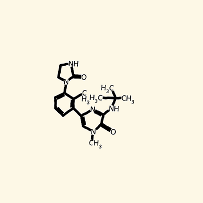 Cc1c(-c2cn(C)c(=O)c(NC(C)(C)C)n2)cccc1N1CCNC1=O